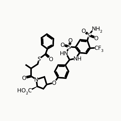 CC(CSC(=O)c1ccccc1)C(=O)N1CC(Oc2ccc(C3Nc4cc(C(F)(F)F)c(S(N)(=O)=O)cc4S(=O)(=O)N3)cc2)C[C@H]1C(=O)O